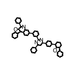 c1ccc(-c2cc(-c3ccc(-c4cccc5c4oc4ccccc45)cc3)nc(-c3cccc(-c4ccc5c(c4)nc(-c4ccccc4)c4oc6ccccc6c45)c3)n2)cc1